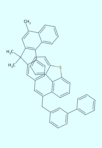 Cc1cc2c(c3ccccc13)-c1ccc(/C=C(/Cc3cccc(-c4ccccc4)c3)c3cccc4sc5ccccc5c34)cc1C2(C)C